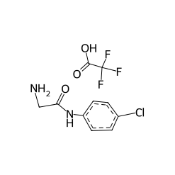 NCC(=O)Nc1ccc(Cl)cc1.O=C(O)C(F)(F)F